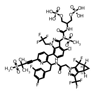 CC(C)(C#Cc1ccc(-c2ccc(Cl)c3c(N(C(=O)NC(COP(=O)(O)O)COP(=O)(O)O)S(C)(=O)=O)nn(CC(F)(F)F)c23)c(C(Cc2cc(F)cc(F)c2)NC(=O)Cn2nc(C(F)(F)F)c3c2C(F)(F)[C@@H]2C[C@H]32)n1)S(C)(=O)=O